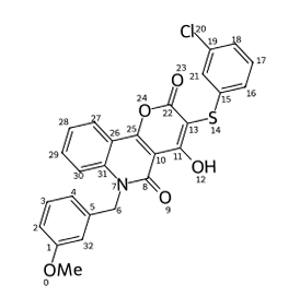 COc1cccc(Cn2c(=O)c3c(O)c(Sc4cccc(Cl)c4)c(=O)oc3c3ccccc32)c1